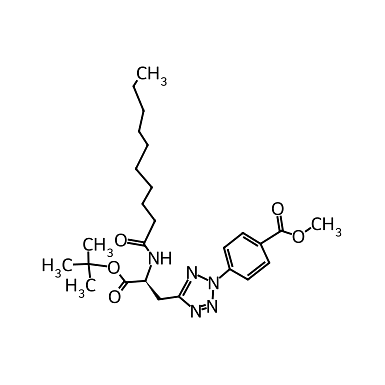 CCCCCCCCCC(=O)N[C@@H](Cc1nnn(-c2ccc(C(=O)OC)cc2)n1)C(=O)OC(C)(C)C